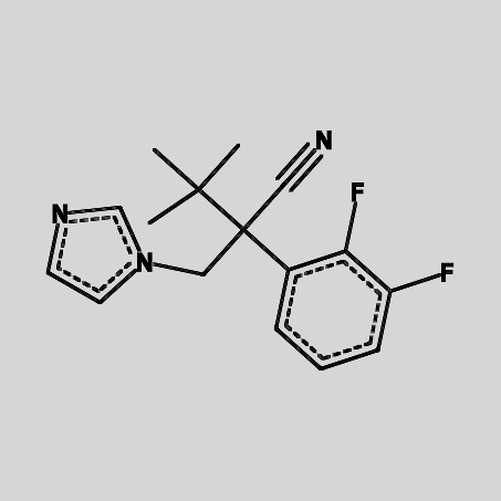 CC(C)(C)C(C#N)(Cn1ccnc1)c1cccc(F)c1F